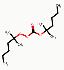 CCCCC(C)(C)OOC(=O)OC(C)(C)CCCC